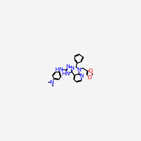 CN(C)c1ccc(Nc2nnc(-c3cccnc3N(CC3=COCO3)Cc3ccccc3)[nH]2)cc1